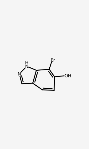 Oc1ccc2cn[nH]c2c1Br